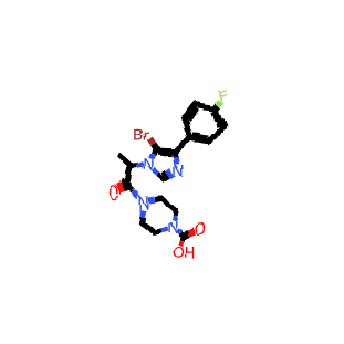 CC(C(=O)N1CCN(C(=O)O)CC1)n1cnc(-c2ccc(F)cc2)c1Br